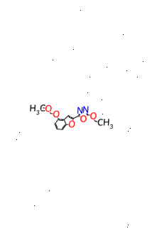 CCOc1nnc(-c2cc3c(OCOC)cccc3o2)o1